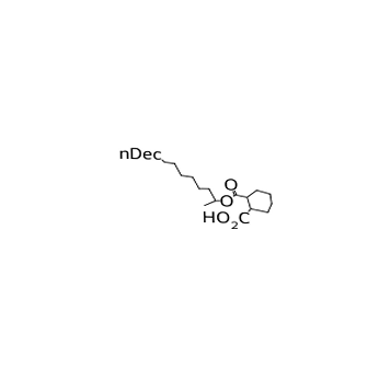 CCCCCCCCCCCCCCCCC(C)OC(=O)C1CCCCC1C(=O)O